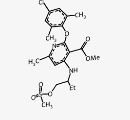 CCC(COS(C)(=O)=O)Nc1cc(C)nc(Oc2c(C)cc(Cl)cc2C)c1C(=O)OC